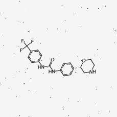 O=C(Nc1ccc([C@H]2CNCCO2)cc1)Nc1ccc(C(F)(F)F)cc1